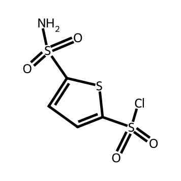 NS(=O)(=O)c1ccc(S(=O)(=O)Cl)s1